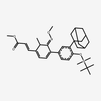 CON=C1C(c2ccc(O[Si](C)(C)C(C)(C)C)c(C34CC5CC(CC(C5)C3)C4)c2)=CC=C(C=CC(=O)OC)C1C